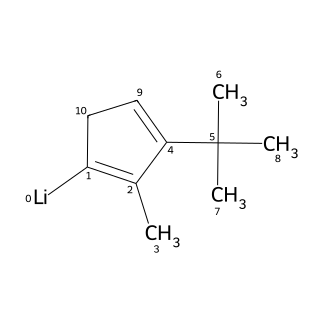 [Li][C]1=C(C)C(C(C)(C)C)=CC1